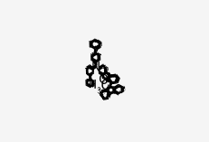 CC1(c2cccc3c2oc2cc(N(c4ccc(C5=CC=CCC5)cc4)c4cccc(-c5ccccc5)c4)ccc23)c2ccccc2-c2ccccc21